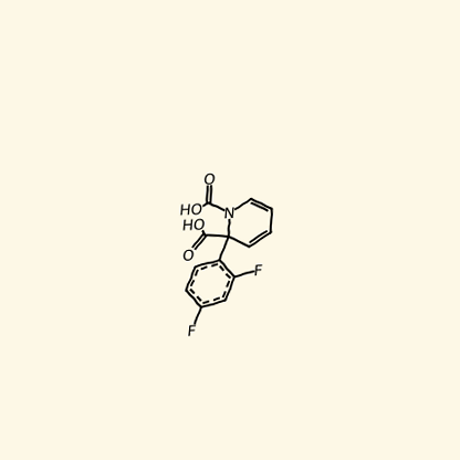 O=C(O)N1C=CC=CC1(C(=O)O)c1ccc(F)cc1F